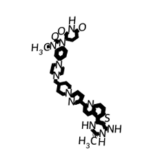 C[C@@H]1CNc2c(sc3ccc4nc(-c5ccc(N6CCC(CN7CCN(c8ccc9c(c8)n(C)c(=O)n9C8CCC(=O)NC8=O)CC7)CC6)nc5)ccc4c23)C(=N)N1